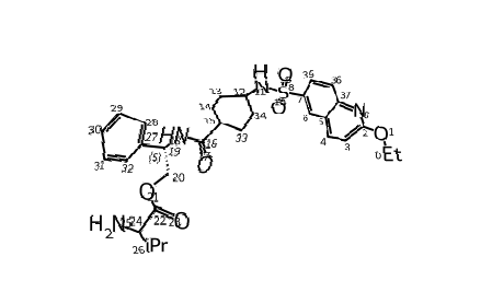 CCOc1ccc2cc(S(=O)(=O)NC3CCC(C(=O)N[C@H](COC(=O)C(N)C(C)C)c4ccccc4)CC3)ccc2n1